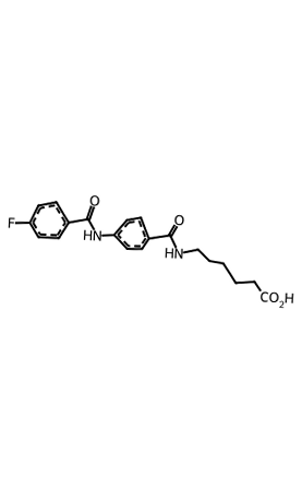 O=C(O)CCCCCNC(=O)c1ccc(NC(=O)c2ccc(F)cc2)cc1